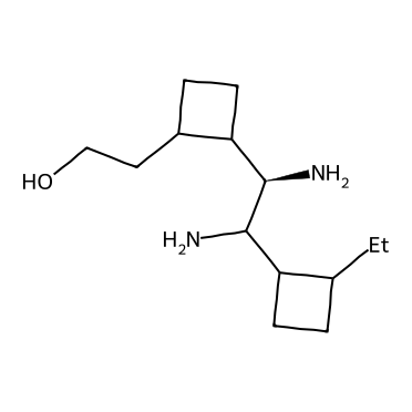 CCC1CCC1C(N)[C@H](N)C1CCC1CCO